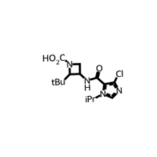 CC(C)n1cnc(Cl)c1C(=O)NC1CN(C(=O)O)C1C(C)(C)C